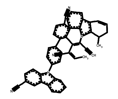 C#C/C(=C(\C(C#N)=C/C)c1cc(C#N)ccc1-c1ccc(-n2c3ccccc3c3cc(C#N)ccc32)cc1)n1c2c(c3ccccc31)C=CCC2C